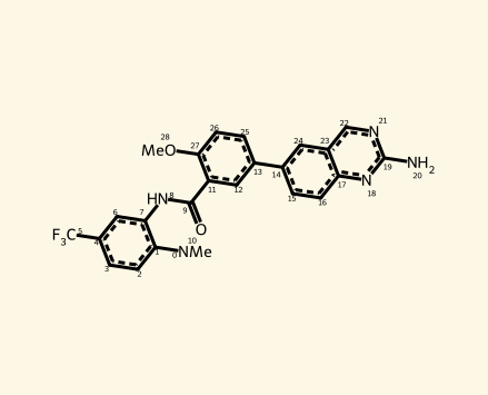 CNc1ccc(C(F)(F)F)cc1NC(=O)c1cc(-c2ccc3nc(N)ncc3c2)ccc1OC